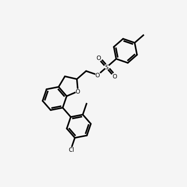 Cc1ccc(S(=O)(=O)OCC2Cc3cccc(-c4cc(Cl)ccc4C)c3O2)cc1